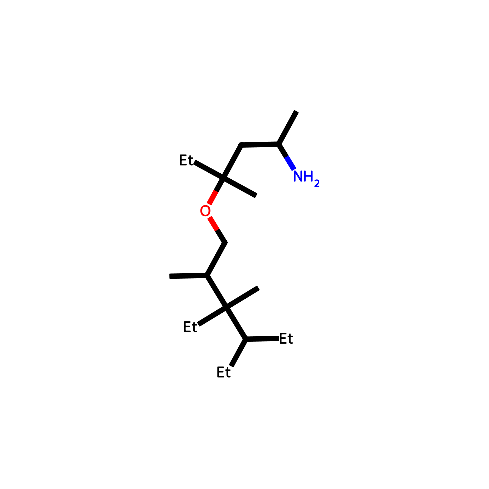 CCC(CC)C(C)(CC)C(C)COC(C)(CC)CC(C)N